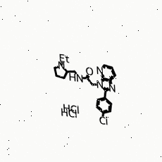 CCN1CCCC1CNC(=O)Cn1c(-c2ccc(Cl)cc2)nc2cccnc21.Cl.Cl